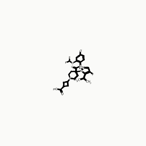 CC(C)c1c(F)cnn1C1(C(=O)Nc2ccc(Cl)cc2OC(F)F)CCN(C2CC(C(=O)O)C2)CC1